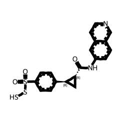 O=C(Nc1ccc2cnccc2c1)[C@@H]1C[C@H]1c1ccc(S(=O)(=O)SS)cc1